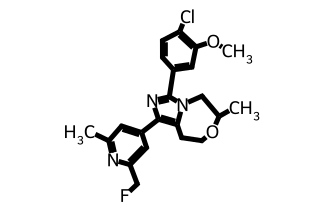 COc1cc(-c2nc(-c3cc(C)nc(CF)c3)c3n2CC(C)OCC3)ccc1Cl